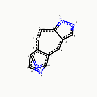 c1nnc2ccc3c4cnc([nH]4)c3cc1-2